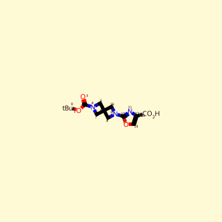 CC(C)(C)OC(=O)N1CC2(C1)CN(c1nc(C(=O)O)co1)C2